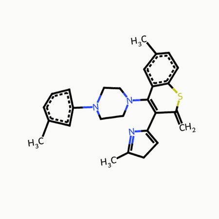 C=C1Sc2ccc(C)cc2C(N2CCN(c3cccc(C)c3)CC2)=C1C1=CCC(C)=N1